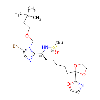 CC(C)(C)[S@@+]([O-])N[C@@H](CCCCCC1(c2ncco2)OCCO1)c1ncc(Br)n1COCC[Si](C)(C)C